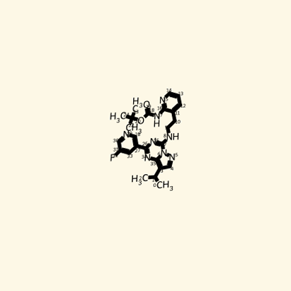 CC(C)c1cnn2c(NCCc3cccnc3NC(=O)OC(C)(C)C)nc(-c3cncc(F)c3)nc12